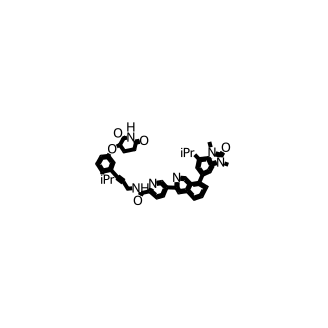 CC(C)c1ccc(OC2CCC(=O)NC2=O)cc1C#CCNC(=O)c1ccc(-c2cc3cccc(-c4cc(C(C)C)c5c(c4)n(C)c(=O)n5C)c3cn2)cn1